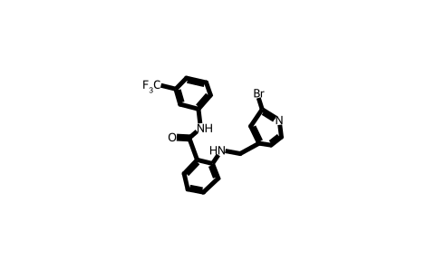 O=C(Nc1cccc(C(F)(F)F)c1)c1ccccc1NCc1ccnc(Br)c1